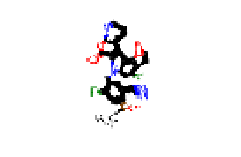 C[S+]([O-])c1cc(F)c(Cn2c3cc(F)c4ccoc4c3c3c4cccnc4oc(=O)c32)cc1C#N